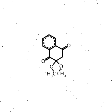 COC1(OC)CC(=O)c2ccccc2C1=O